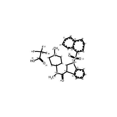 CN1CCC(N(C)C(=O)C2CN(S(=O)(=O)c3cccc4ccccc34)c3ccccc32)CC1.O=C(O)C(F)(F)F